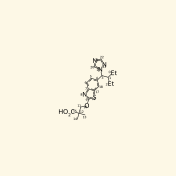 CCC(CC)C(c1ccc2nc(OCC(C)(C)C(=O)O)sc2c1)n1cncn1